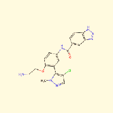 Cn1ncc(Cl)c1-c1cc(NC(=O)c2ccc3[nH]nnc3c2)ccc1OCCN